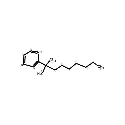 CCCCCCCC(C)(C)c1ccccn1